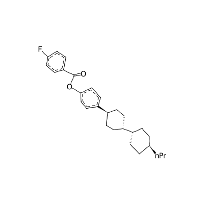 CCC[C@H]1CC[C@H]([C@H]2CC[C@H](c3ccc(OC(=O)c4ccc(F)cc4)cc3)CC2)CC1